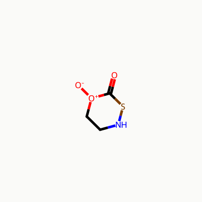 O=C1SNCC[O+]1[O-]